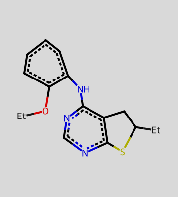 CCOc1ccccc1Nc1ncnc2c1CC(CC)S2